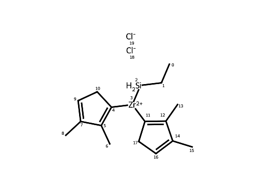 CC[SiH2][Zr+2]([C]1=C(C)C(C)=CC1)[C]1=C(C)C(C)=CC1.[Cl-].[Cl-]